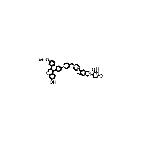 COc1cccc(C2COc3cc(O)ccc3C2c2ccc(N3CCC(CN4CCN(c5cc6c(cc5F)CN(C5CCC(=O)NC5=O)C6)CC4)CC3)cc2)c1